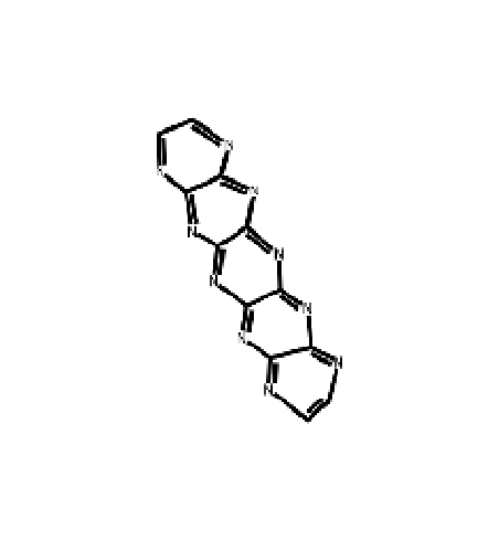 c1cnc2nc3nc4nc5nccnc5nc4nc3nc2n1